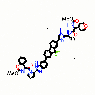 COC(=O)NC(C(=O)NC(c1nc(-c2ccc3c(c2)C(F)(F)c2cc(-c4ccc5nc([C@@H]6CCCN6C(=O)[C@H](NC(=O)OC)c6ccccc6)[nH]c5c4)ccc2-3)c[nH]1)C(C)C)C1CCOCC1